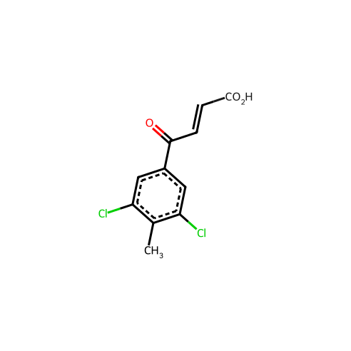 Cc1c(Cl)cc(C(=O)C=CC(=O)O)cc1Cl